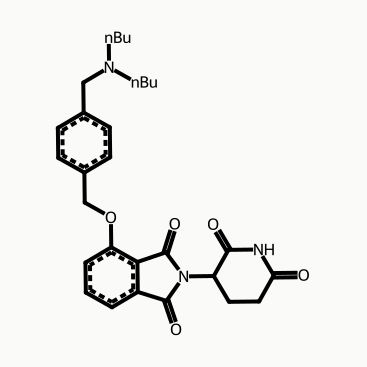 CCCCN(CCCC)Cc1ccc(COc2cccc3c2C(=O)N(C2CCC(=O)NC2=O)C3=O)cc1